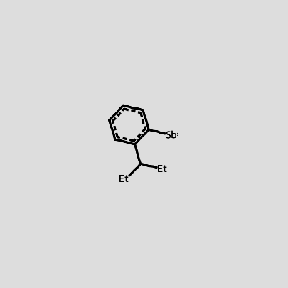 CCC(CC)c1cccc[c]1[Sb]